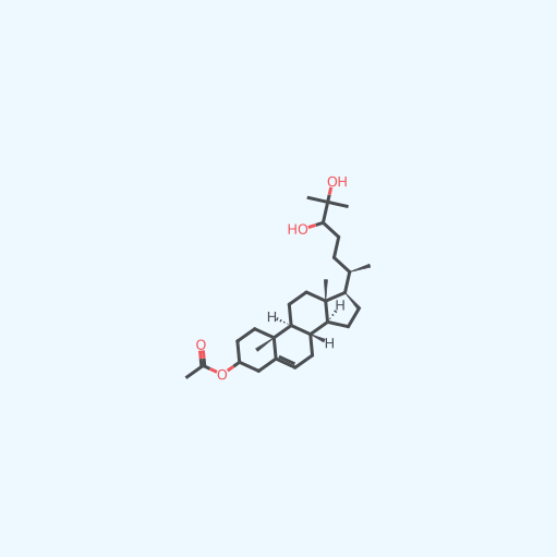 CC(=O)OC1CC[C@@]2(C)C(=CC[C@H]3[C@@H]4CC[C@H]([C@H](C)CCC(O)C(C)(C)O)[C@@]4(C)CC[C@@H]32)C1